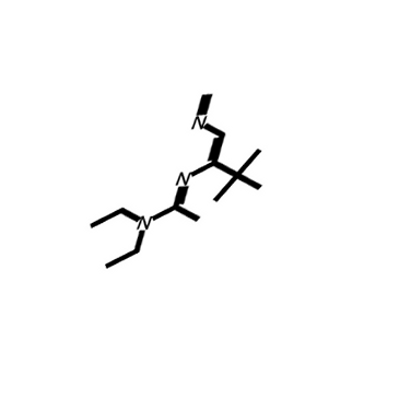 C=N/C=C(\N=C(/C)N(CC)CC)C(C)(C)C